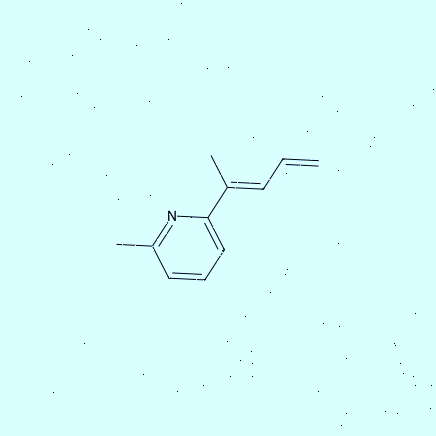 C=C/C=C(\C)c1cccc(C)n1